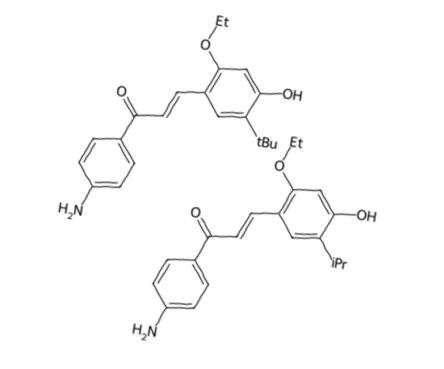 CCOc1cc(O)c(C(C)(C)C)cc1C=CC(=O)c1ccc(N)cc1.CCOc1cc(O)c(C(C)C)cc1C=CC(=O)c1ccc(N)cc1